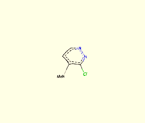 CNc1ccnnc1Cl